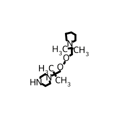 CC(C)(COCOCC(C)(C)N1CCNCC1)N1CCCCC1